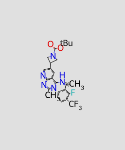 Cc1nc(N[C@H](C)c2cccc(C(F)(F)F)c2F)c2cc(C3CN(C(=O)OC(C)(C)C)C3)cnc2n1